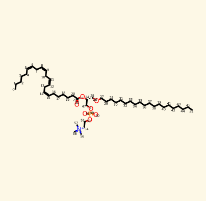 CCCCC/C=C\C/C=C\C/C=C\C/C=C\CCCCCC(=O)O[C@H](COCCCCCCCCCCCCCCCCCCCC)COP(=O)([O-])OCC[N+](C)(C)C